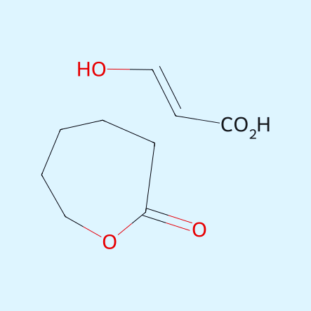 O=C(O)C=CO.O=C1CCCCCO1